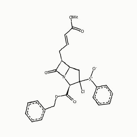 COC(=O)C=CCC1C(=O)N2C1CC(Cl)([S+]([O-])c1ccccc1)[C@H]2C(=O)OCc1ccccc1